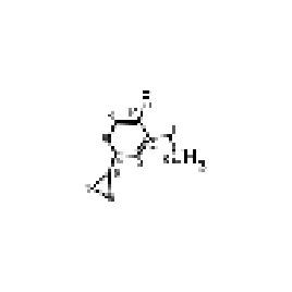 CCC1=CC(C2CC2)CC=C1F